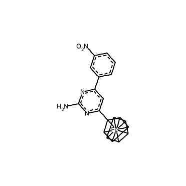 Nc1nc(-c2cccc([N+](=O)[O-])c2)cc([C]23[CH]4[CH]5[CH]6[CH]2[Fe]56432789[CH]3[CH]2[CH]7[CH]8[CH]39)n1